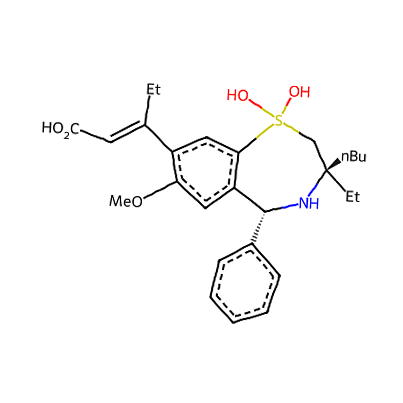 CCCC[C@]1(CC)CS(O)(O)c2cc(/C(=C/C(=O)O)CC)c(OC)cc2[C@@H](c2ccccc2)N1